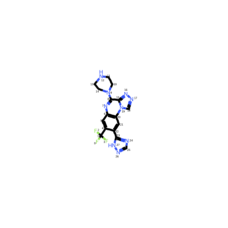 FC(F)(F)c1cc2nc(N3CCNCC3)c3nncn3c2cc1-c1ncn[nH]1